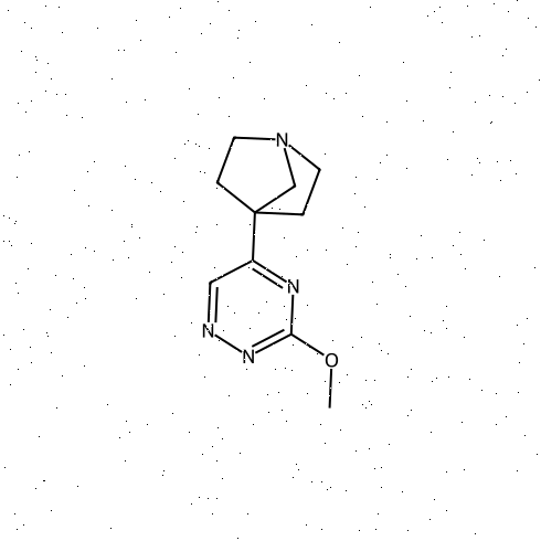 COc1nncc(C23CCN(CC2)C3)n1